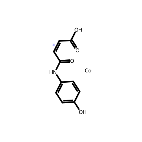 O=C(O)/C=C\C(=O)Nc1ccc(O)cc1.[Co]